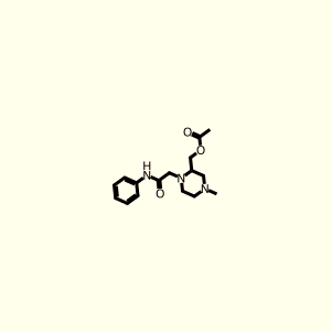 CC(=O)OCC1CN(C)CCN1CC(=O)Nc1ccccc1